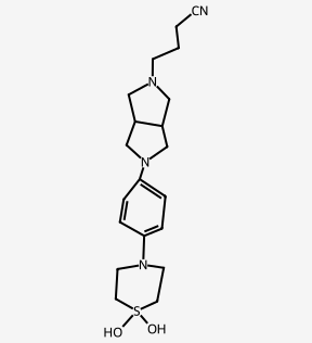 N#CCCCN1CC2CN(c3ccc(N4CCS(O)(O)CC4)cc3)CC2C1